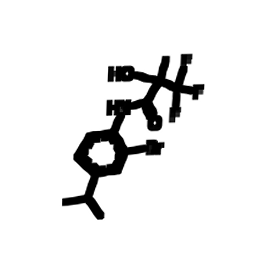 CC(C)c1ccc(NC(=O)C(C)(O)C(F)(F)F)c(Br)c1